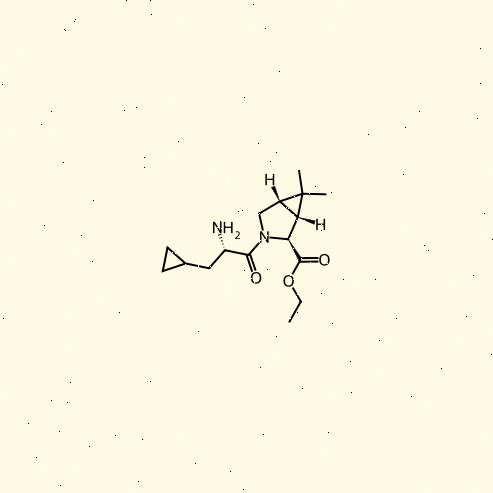 CCOC(=O)[C@@H]1[C@@H]2[C@H](CN1C(=O)[C@@H](N)CC1CC1)C2(C)C